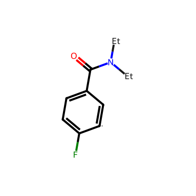 CCN(CC)C(=O)c1c[c]c(F)cc1